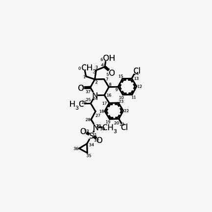 CCC1(CC(=O)O)CC(c2cccc(Cl)c2)C(c2ccc(Cl)cc2)N(C(C)CCN(C)S(=O)(=O)C2CC2)C1=O